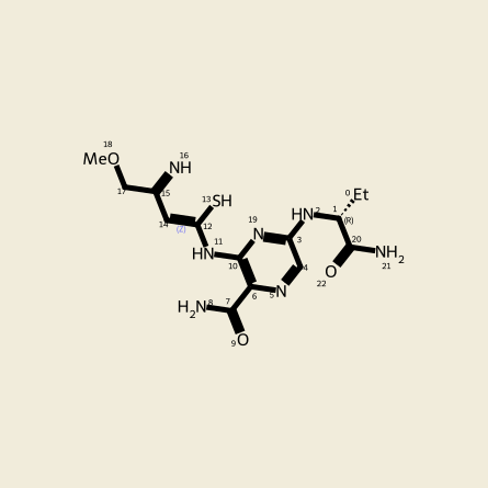 CC[C@@H](Nc1cnc(C(N)=O)c(N/C(S)=C/C(=N)COC)n1)C(N)=O